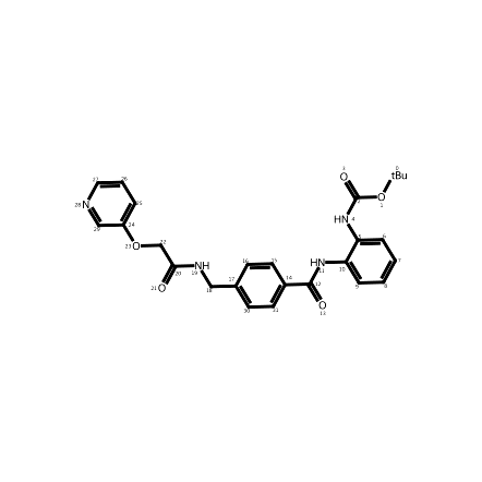 CC(C)(C)OC(=O)Nc1ccccc1NC(=O)c1ccc(CNC(=O)COc2cccnc2)cc1